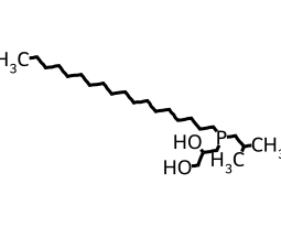 CCCCCCCCCCCCCCCCCCP(CC(C)C)CC(O)CO